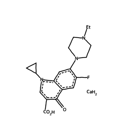 CCN1CCN(c2cc3c(cc2F)c(=O)c(C(=O)O)cn3C2CC2)CC1.[CaH2]